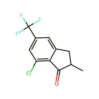 CC1Cc2cc(C(F)(F)F)cc(Cl)c2C1=O